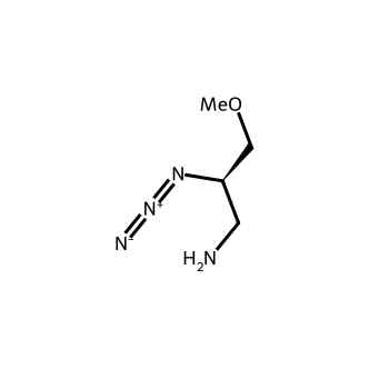 COC[C@@H](CN)N=[N+]=[N-]